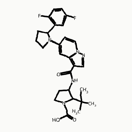 CC(C)(C)C1C(NC(=O)c2cnn3ccc(N4CCCC4c4cc(F)ccc4F)cc23)CCN1C(=O)O